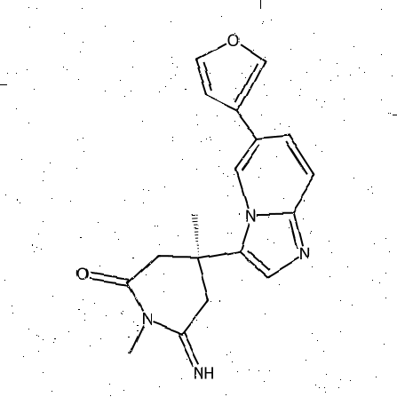 CN1C(=N)C[C@](C)(c2cnc3ccc(-c4ccoc4)cn23)CC1=O